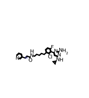 Nc1nc(NC2CC2)cc(-c2c(F)ccc(CCCCCNC(=O)/C=C/c3cccnc3)c2Cl)n1